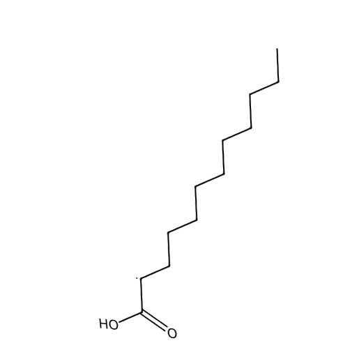 CCCCCCCCCC[CH]C(=O)O